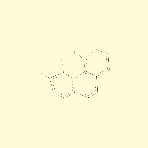 Fc1[c]cc2ccc3c[c]cc(F)c3c2c1F